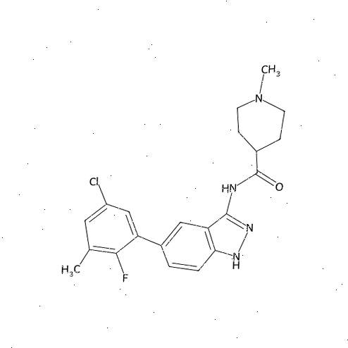 Cc1cc(Cl)cc(-c2ccc3[nH]nc(NC(=O)C4CCN(C)CC4)c3c2)c1F